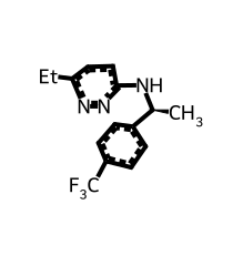 CCc1ccc(N[C@@H](C)c2ccc(C(F)(F)F)cc2)nn1